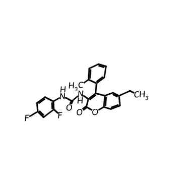 CCc1ccc2oc(=O)c(NC(=O)Nc3ccc(F)cc3F)c(-c3ccccc3C)c2c1